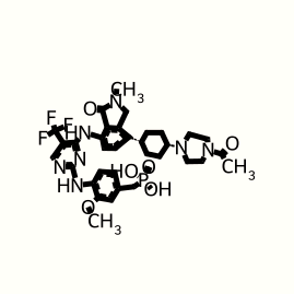 COc1cc(CP(=O)(O)O)ccc1Nc1ncc(C(F)(F)F)c(Nc2ccc([C@H]3CC[C@@H](N4CCN(C(C)=O)CC4)CC3)c3c2C(=O)N(C)C3)n1